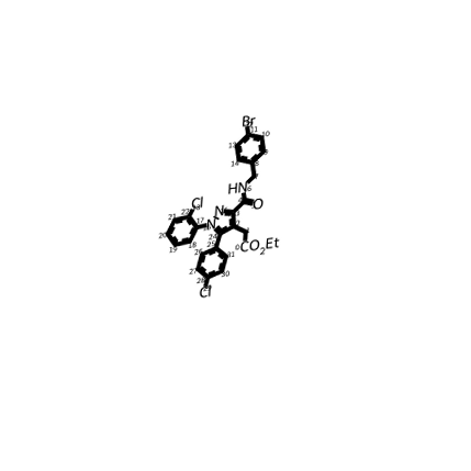 CCOC(=O)Cc1c(C(=O)NCc2ccc(Br)cc2)nn(-c2ccccc2Cl)c1-c1ccc(Cl)cc1